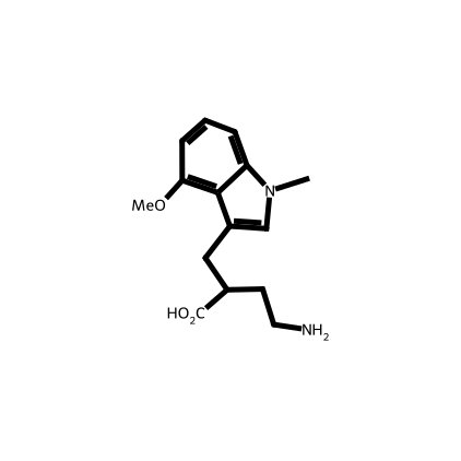 COc1cccc2c1c(CC(CCN)C(=O)O)cn2C